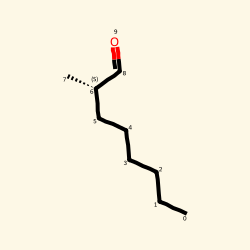 CCCCCC[C@H](C)C=O